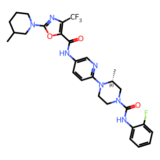 CC1CCCN(c2nc(C(F)(F)F)c(C(=O)Nc3ccc(N4CCN(C(=O)Nc5ccccc5F)C[C@H]4C)nc3)o2)C1